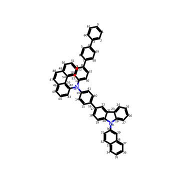 c1ccc(-c2ccc(-c3ccc(N(c4ccc(-c5ccc6c(c5)c5ccccc5n6-c5ccc6ccccc6c5)cc4)c4cccc5ccc6ccccc6c45)cc3)cc2)cc1